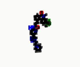 CN(C(=O)c1cccc(C=CC(=O)Nc2ccc(-c3cn(CCN4CCCCC4)nn3)cn2)c1)c1cccc(C(F)(F)F)c1